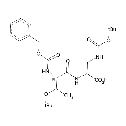 CC(OC(C)(C)C)[C@H](NC(=O)OCc1ccccc1)C(=O)NC(CNC(=O)OC(C)(C)C)C(=O)O